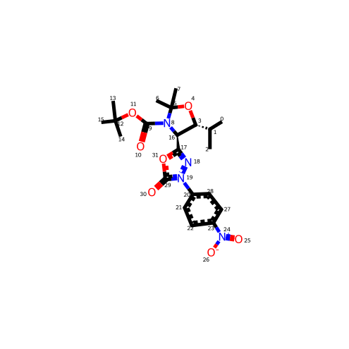 CC(C)[C@H]1OC(C)(C)N(C(=O)OC(C)(C)C)[C@@H]1c1nn(-c2ccc([N+](=O)[O-])cc2)c(=O)o1